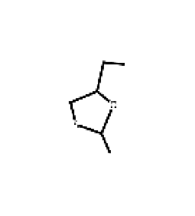 CCC1CS[C](C)O1